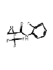 O=C(Nc1ccccc1F)[C@@]1(C(F)(F)F)CO1